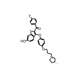 C[C@@H]1CCN(CCCOc2ccc(Oc3c(C(=O)c4ccc(F)cc4)sc4cc(O)ccc34)cc2)C1